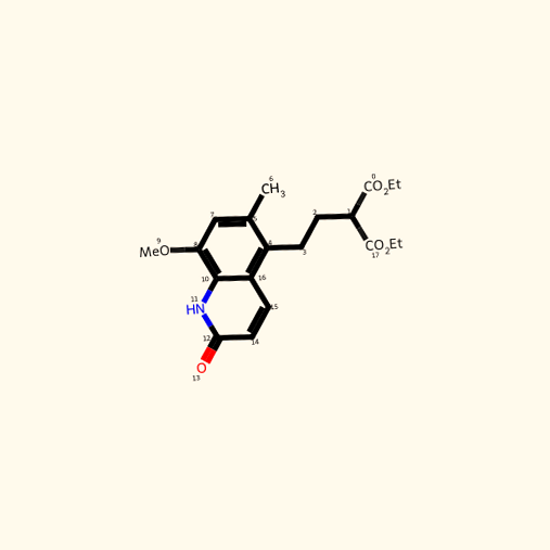 CCOC(=O)C(CCc1c(C)cc(OC)c2[nH]c(=O)ccc12)C(=O)OCC